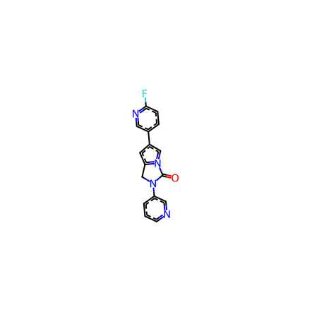 O=C1N(c2cccnc2)Cc2cc(-c3ccc(F)nc3)cn21